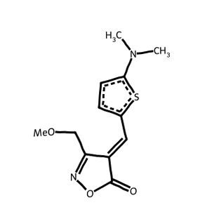 COCC1=NOC(=O)/C1=C/c1ccc(N(C)C)s1